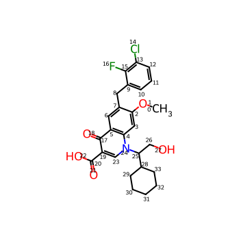 COc1cc2c(cc1Cc1cccc(Cl)c1F)c(=O)c(C(=O)O)cn2C(CO)C1CCCCC1